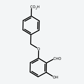 O=Cc1c(O)cccc1OCc1ccc(C(=O)O)cc1